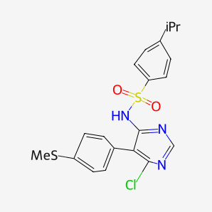 CSc1ccc(-c2c(Cl)ncnc2NS(=O)(=O)c2ccc(C(C)C)cc2)cc1